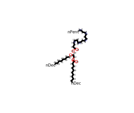 CCCCC/C=C\C/C=C\C/C=C\C/C=C\C/C=C\CCC(=O)OC[C@H](COC(=O)CCCCCCCCCCCCCCCCCCC)OCCCCCCCCCCCCCCCCCC